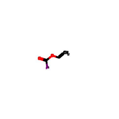 C=COC(=O)[P]